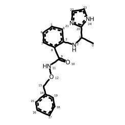 CC(Nc1ccccc1C(=O)NOCc1ccccc1)c1ncc[nH]1